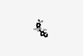 O=C(Nc1cc([N+](=O)[O-])ccc1O)c1ccc2cccnc2c1O